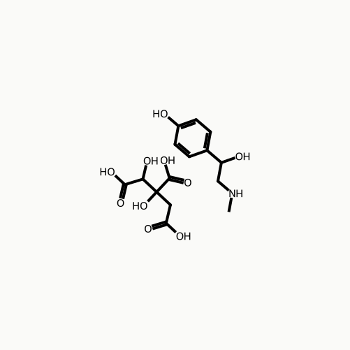 CNCC(O)c1ccc(O)cc1.O=C(O)CC(O)(C(=O)O)C(O)C(=O)O